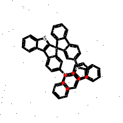 c1ccc(N(c2ccccc2)c2ccc3c(c2)C2(c4ccccc4-c4ccc(-n5c6ccccc6c6ccccc65)cc42)c2sc4ccccc4c2-3)cc1